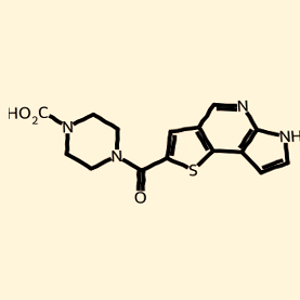 O=C(O)N1CCN(C(=O)c2cc3cnc4[nH]ccc4c3s2)CC1